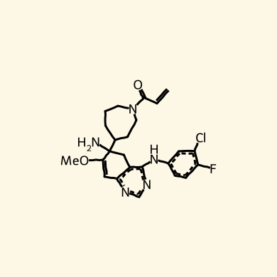 C=CC(=O)N1CCCC(C2(N)Cc3c(ncnc3Nc3ccc(F)c(Cl)c3)C=C2OC)CC1